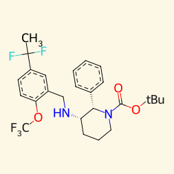 CC(C)(C)OC(=O)N1CCC[C@H](NCc2cc(C(C)(F)F)ccc2OC(F)(F)F)[C@@H]1c1ccccc1